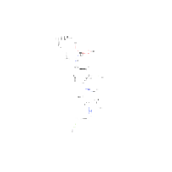 CC(=O)NCC1CN(c2ccc(N3CC4CN(CCF)C4C3)c(F)c2)C(=O)O1